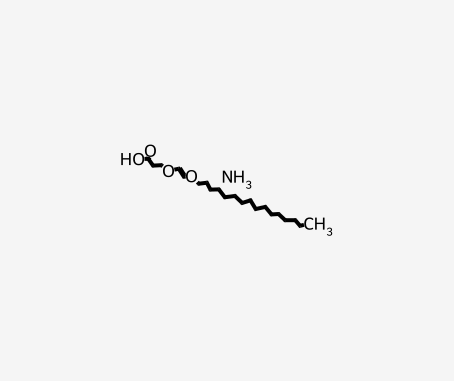 CCCCCCCCCCCCCCCCOC=COCCC(=O)O.N